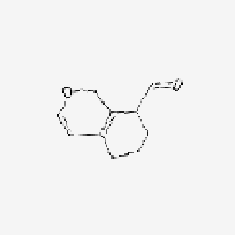 O=CC1CCCC2=C1COC=C2